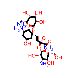 NC[C@H]1O[C@H](O[C@]2(CC[C@](O)(O[C@H]3O[C@H](CO)[C@@H](O)[C@H](N)[C@H]3O)C(N)=O)C[C@@H](N)C[C@H](O)C2)[C@H](O)[C@@H](O)[C@H]1O